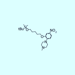 CN1CCN(c2ccc([N+](=O)[O-])cc2OCCCCCO[Si](C)(C)C(C)(C)C)CC1